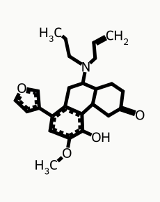 C=CCN(CCC)C1Cc2c(-c3ccoc3)cc(OC)c(O)c2C2CC(=O)CCC21